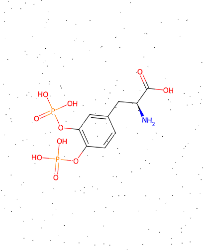 N[C@@H](Cc1ccc(OP(=O)(O)O)c(OP(=O)(O)O)c1)C(=O)O